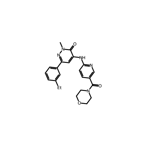 CCc1cccc(-c2cc(Nc3ccc(C(=O)N4CCOCC4)cn3)c(=O)n(C)n2)c1